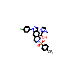 Cn1ccnc1C(O)[C@]12Cc3cnn(-c4ccc(F)cc4)c3C=C1CCN(S(=O)(=O)c1ccc(C(F)(F)F)cc1)C2